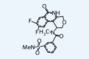 CNS(=O)(=O)c1cccc(C(=O)N(C)C2COCc3[nH]c(=O)c4cc(F)c(F)cc4c32)c1